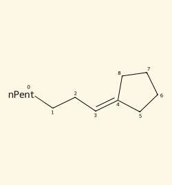 [CH2]CCCCCCC=C1CCCC1